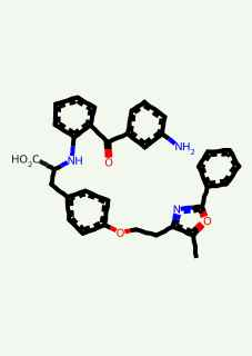 Cc1oc(-c2ccccc2)nc1CCOc1ccc(CC(Nc2ccccc2C(=O)c2cccc(N)c2)C(=O)O)cc1